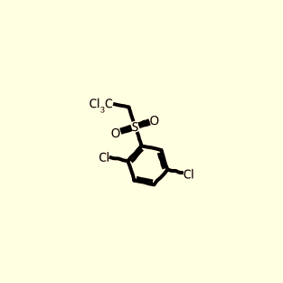 O=S(=O)(CC(Cl)(Cl)Cl)c1cc(Cl)ccc1Cl